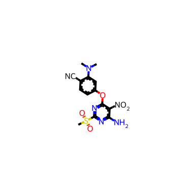 CN(C)c1cc(Oc2nc(S(C)(=O)=O)nc(N)c2[N+](=O)[O-])ccc1C#N